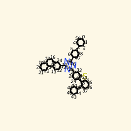 c1ccc(-c2ccc(-c3nc(-c4ccc5c(ccc6ccccc65)c4)nc(-c4ccc5c(c4)sc4cccc(-c6ccccc6)c45)n3)cc2)cc1